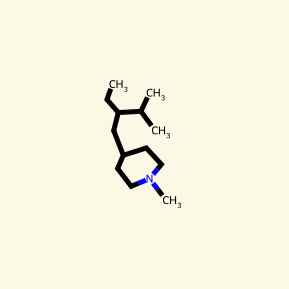 CCC(CC1CCN(C)CC1)C(C)C